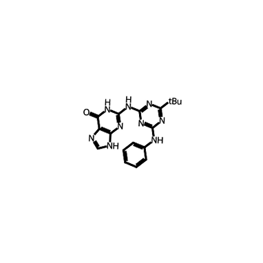 CC(C)(C)c1nc(Nc2ccccc2)nc(Nc2nc3[nH]cnc3c(=O)[nH]2)n1